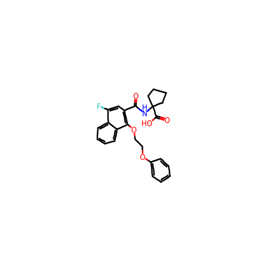 O=C(NC1(C(=O)O)CCCC1)c1cc(F)c2ccccc2c1OCCOc1ccccc1